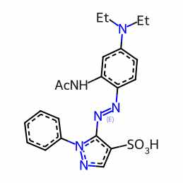 CCN(CC)c1ccc(/N=N/c2c(S(=O)(=O)O)cnn2-c2ccccc2)c(NC(C)=O)c1